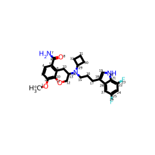 COc1ccc(C(N)=O)c2c1OCC(N(CCCc1c[nH]c3c(F)cc(F)cc13)C1CCC1)C2